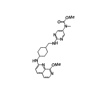 COC(=O)N(C)c1cnc(NCC2CCC(Nc3ccc4ccnc(OC)c4n3)CC2)nc1